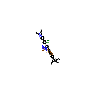 CCCCN(CCCC)c1ccc(-c2ccc(-c3ccc(-c4cc5sc(-c6ccc([Si](CCCC)(CCCC)CCCC)cc6)cc5s4)c4nsnc34)c(F)c2)cc1